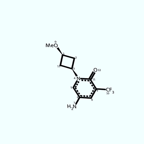 CO[C@H]1C[C@@H](n2cc(N)cc(C(F)(F)F)c2=O)C1